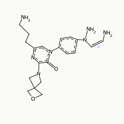 N/C=C\N(N)c1ccc(-n2cc(CCCN)nc(N3CC4(COC4)C3)c2=O)cc1